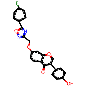 O=c1c(-c2ccc(O)cc2)coc2cc(OCc3noc(-c4ccc(F)cc4)n3)ccc12